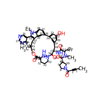 CC#CC(=O)N1CC[C@@H](C(=O)N(C)C(C(=O)N[C@H]2Cc3cc(O)cc(c3)-c3ccc4c(c3)c(c(-c3cncnc3)n4CC)CC(C)(C)COC(=O)[C@@H]3CCCN(N3)C2=O)C(C)C)C1